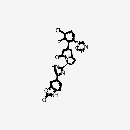 O=C1C=C(c2c(-n3cnnn3)ccc(Cl)c2F)CC2CC[C@@H](c3nc(-c4ccc5[nH]c(=O)oc5c4)c[nH]3)N12